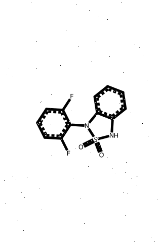 O=S1(=O)Nc2ccccc2N1c1c(F)cccc1F